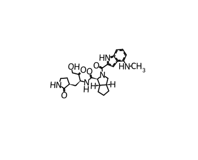 CNc1cccc2[nH]c(C(=O)N3C[C@@H]4CCC[C@@H]4[C@H]3C(=O)N[C@@H](C[C@@H]3CCNC3=O)C(=O)CO)cc12